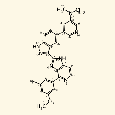 COc1cc(F)cc(-c2nccc3[nH]c(-c4n[nH]c5ncc(-c6cncc(N(C)C)c6)cc45)nc23)c1